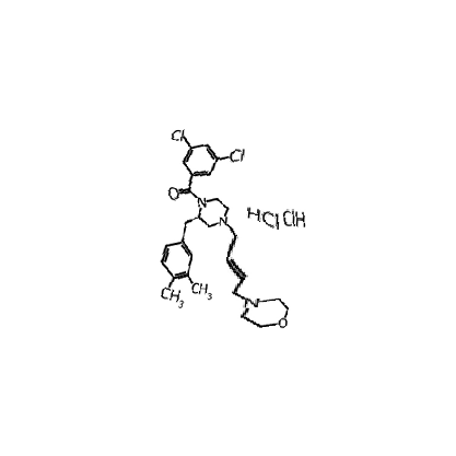 Cc1ccc(C[C@@H]2CN(C/C=C/CN3CCOCC3)CCN2C(=O)c2cc(Cl)cc(Cl)c2)cc1C.Cl.Cl